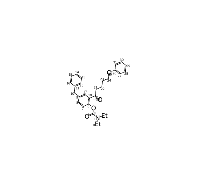 CCN(CC)C(=O)Oc1ccc(Cc2ccccc2)cc1C(=O)CCCCOc1ccccc1